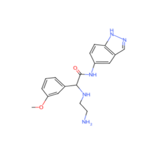 COc1cccc(C(NCCN)C(=O)Nc2ccc3[nH]ncc3c2)c1